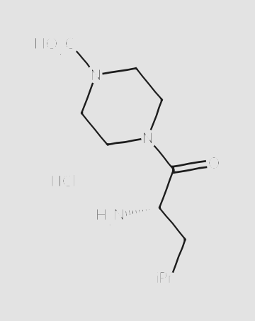 CC(C)C[C@H](N)C(=O)N1CCN(C(=O)O)CC1.Cl